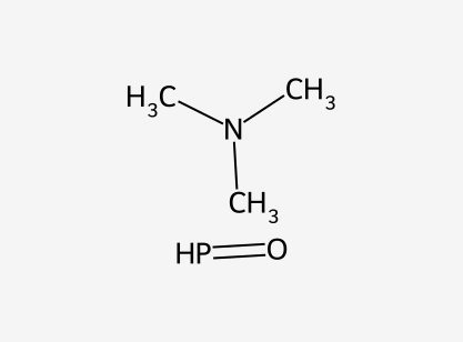 CN(C)C.O=P